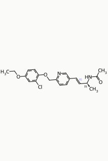 CCOc1ccc(OCc2ccc(/C=C/[C@H](C)NC(C)=O)cn2)c(Cl)c1